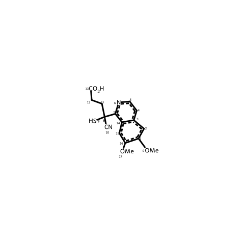 COc1cc2ccnc(C(S)(C#N)CCC(=O)O)c2cc1OC